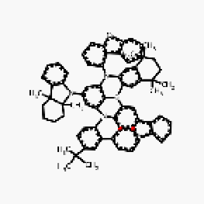 CC(C)(C)c1ccc(N2c3cc4sc5ccccc5c4cc3B3c4cc5c(cc4N(c4cccc6oc7ccccc7c46)c4cc(N6c7ccccc7C7(C)CCCCC67C)cc2c43)C(C)(C)CCC5(C)C)c(-c2ccccc2)c1